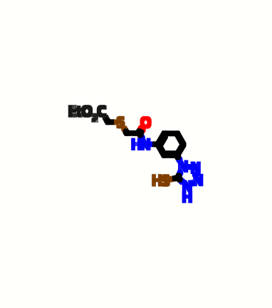 CCOC(=O)CSCC(=O)NC1=CCCC(N2N=NNC2S)=C1